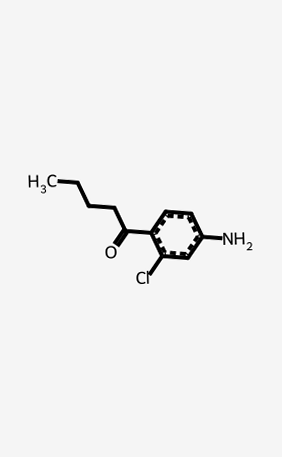 CCCCC(=O)c1ccc(N)cc1Cl